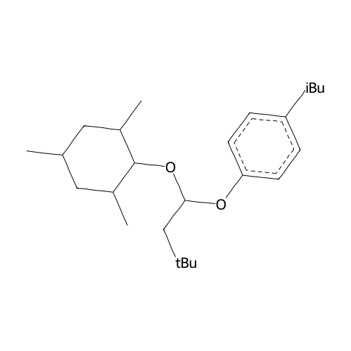 CCC(C)c1ccc(OC(CC(C)(C)C)OC2C(C)CC(C)CC2C)cc1